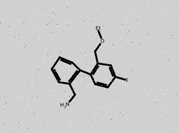 CCOCc1cc(F)ccc1-c1ccc[c]c1CN